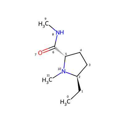 CC[C@@H]1CC[C@@H](C(=O)NC)N1C